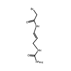 CCCCCC(=O)NCC=CNC(=O)CBr